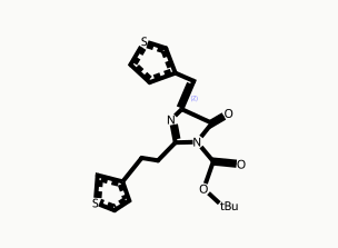 CC(C)(C)OC(=O)N1C(=O)/C(=C/c2ccsc2)N=C1CCc1ccsc1